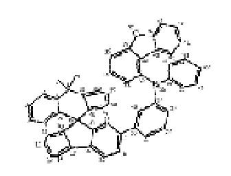 CC1(C)c2ccccc2C2(c3ccccc3-c3ccc(-c4cccc(N(c5ccccc5)c5cccc6oc7ccccc7c56)c4)cc32)c2ccccc21